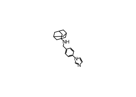 c1cn(-c2ccc(CNC34CC5CC(CC(C5)C3)C4)cc2)cn1